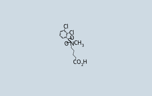 CN(CCCCC(=O)O)S(=O)(=O)c1cccc(Cl)c1Cl